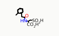 Cc1ccccc1CC(=O)NC(CS(=O)(=O)O)C(=O)O